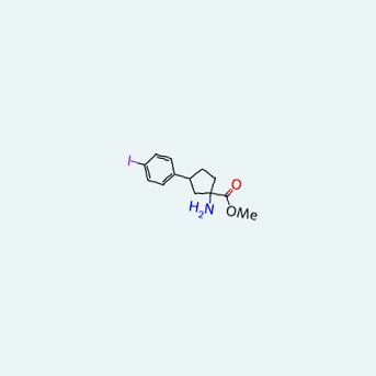 COC(=O)C1(N)CCC(c2ccc(I)cc2)C1